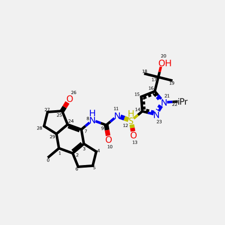 CC1C2=C(CCC2)C(NC(=O)N=[SH](=O)c2cc(C(C)(C)O)n(C(C)C)n2)=C2C(=O)CCC21